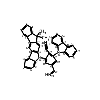 CC1(C)c2ccccc2-c2cc3c4ccccc4n(-c4cc(C=N)cc(-n5c6ccccc6c6ccccc65)c4C#N)c3cc21